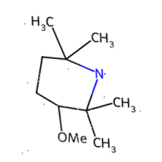 COC1CCC(C)(C)[N]C1(C)C